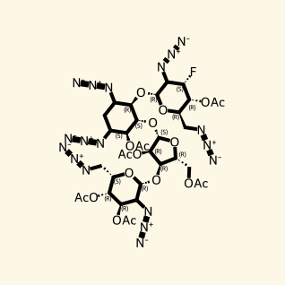 CC(=O)OC[C@H]1O[C@@H](O[C@H]2[C@H](O[C@H]3O[C@H](CN=[N+]=[N-])[C@@H](OC(C)=O)[C@@H](F)C3N=[N+]=[N-])C(N=[N+]=[N-])CC(N=[N+]=[N-])[C@@H]2OC(C)=O)[C@H](OC(C)=O)[C@@H]1O[C@H]1O[C@@H](CN=[N+]=[N-])[C@@H](OC(C)=O)[C@H](OC(C)=O)C1N=[N+]=[N-]